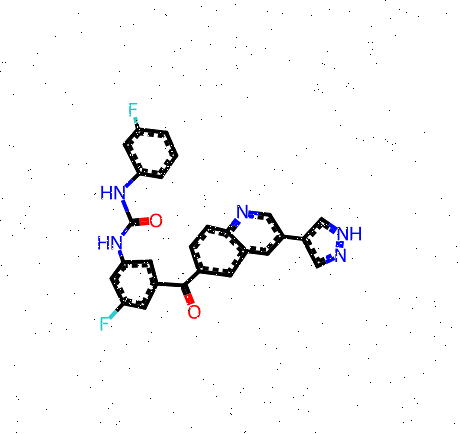 O=C(Nc1cccc(F)c1)Nc1cc(F)cc(C(=O)c2ccc3ncc(-c4cn[nH]c4)cc3c2)c1